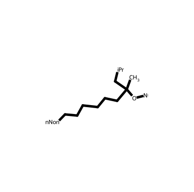 CCCCCCCCCCCCCCCC(C)(CC(C)C)O[N]